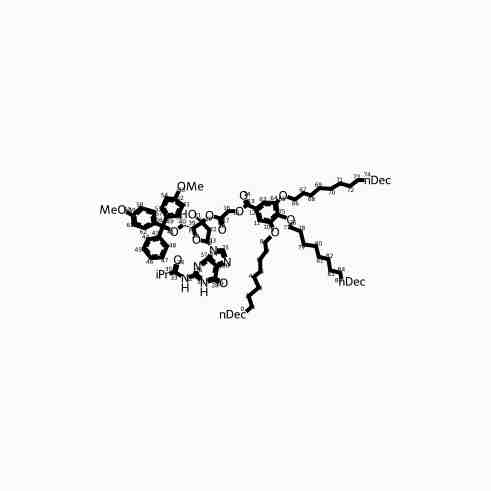 CCCCCCCCCCCCCCCCCCOc1cc(C(=O)OCC(=O)O[C@]2(O)C[C@H](n3cnc4c(=O)[nH]c(NC(=O)C(C)C)nc43)O[C@@H]2COC(c2ccccc2)(c2ccc(OC)cc2)c2ccc(OC)cc2)cc(OCCCCCCCCCCCCCCCCCC)c1OCCCCCCCCCCCCCCCCCC